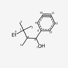 CCC(C)(C)C(C)C(O)c1cc#ccc1